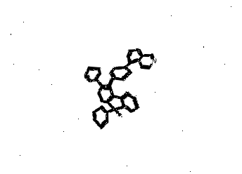 CC1(c2ccccc2)c2ccccc2-c2c1ccc(-c1ccccc1)c2-c1ccc(-c2cccc3cnccc23)cc1